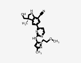 COCCn1nc(C)cc1Nc1nccc(-c2cc(C#N)c3c(c2)[C@@](C)(CO)CN3)n1